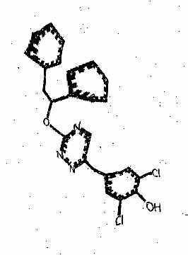 Oc1c(Cl)cc(-c2cnc(OC(Cc3ccccc3)c3ccccc3)nn2)cc1Cl